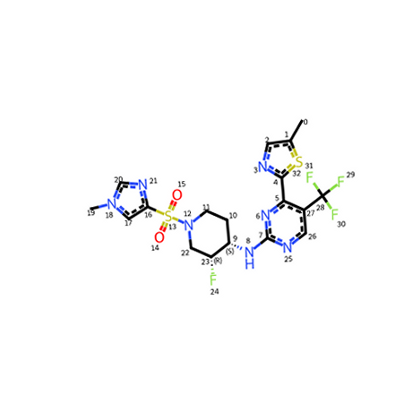 Cc1cnc(-c2nc(N[C@H]3CCN(S(=O)(=O)c4cn(C)cn4)C[C@H]3F)ncc2C(F)(F)F)s1